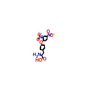 NC(Cc1ccc(Oc2ccc([N+](=O)[O-])cc2[N+](=O)[O-])cc1)C(=O)O